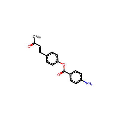 COC(=O)C=Cc1ccc(OC(=O)c2ccc(N)cc2)cc1